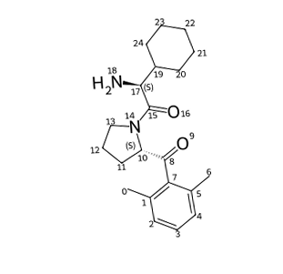 Cc1cccc(C)c1C(=O)[C@@H]1CCCN1C(=O)[C@@H](N)C1CCCCC1